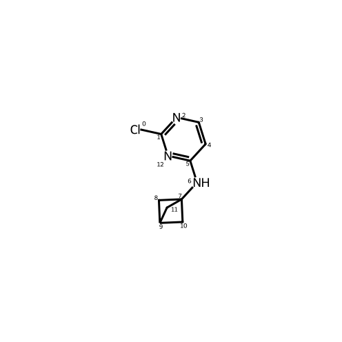 Clc1nccc(NC23CC(C2)C3)n1